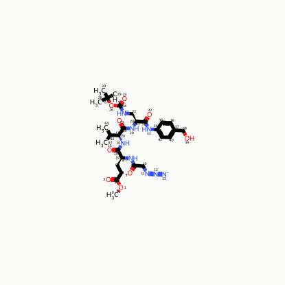 COC(=O)CC[C@H](NC(=O)CN=[N+]=[N-])C(=O)N[C@H](C(=O)N[C@@H](CNC(=O)OC(C)(C)C)C(=O)Nc1ccc(CO)cc1)C(C)C